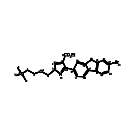 CCOC(=O)c1nn(COCC[Si](C)(C)C)nc1-c1ccc2c(c1)Cc1cc(Br)ccc1-2